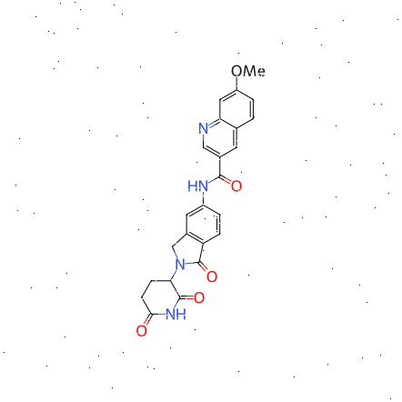 COc1ccc2cc(C(=O)Nc3ccc4c(c3)CN(C3CCC(=O)NC3=O)C4=O)cnc2c1